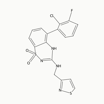 O=S1(=O)N=C(NCc2ccsn2)Nc2c(-c3cccc(F)c3Cl)cccc21